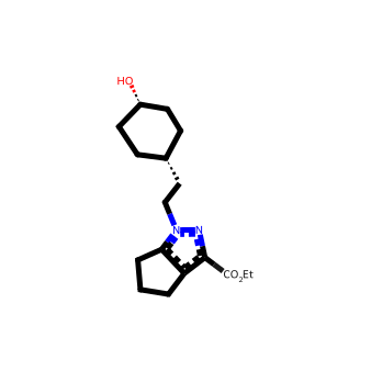 CCOC(=O)c1nn(CC[C@H]2CC[C@@H](O)CC2)c2c1CCC2